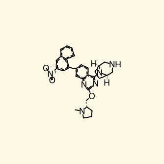 CN1CCC[C@H]1COc1nc(N2[C@@H]3CC[C@H]2CNC3)c2ccc(-c3cc([N+](=O)[O-])cc4ccccc34)cc2n1